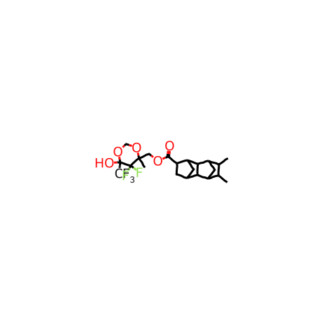 CC1C(C)C2CC1C1C3CC(C(=O)OCC4(C)OCOC(O)(C(F)(F)F)C4(F)F)C(C3)C21